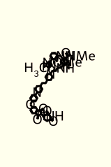 CNC(=O)c1nnc(NCCCN2CCC(CCC3CCN(c4ccc(Oc5ccc6c(c5)C(=O)N(C5CCC(=O)NC5=O)C6=O)cc4)CC3)CC2)cc1Nc1cccc(-c2ncn(C)n2)c1OC